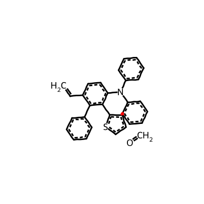 C=Cc1ccc(N(c2ccccc2)c2ccccc2)c(-c2cccs2)c1-c1ccccc1.C=O